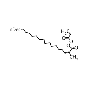 C=CC(=O)OOC(=O)C(C)=CCCCCCCCCCCCCCCCCCCCCCCC